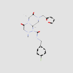 CCC[C@H]1C(=O)N(Cc2ccco2)C[C@H]2N1C(=O)CN(C)N2C(=O)NCc1ccc(F)cc1